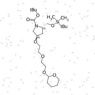 CC(C)(C)OC(=O)N1C[C@H](OCCOCCOC2CCCCO2)C[C@H]1CO[Si](C)(C)C(C)(C)C